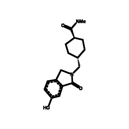 CNC(=O)[C@H]1CC[C@H](CN2Cc3ccc(O)cc3C2=O)CC1